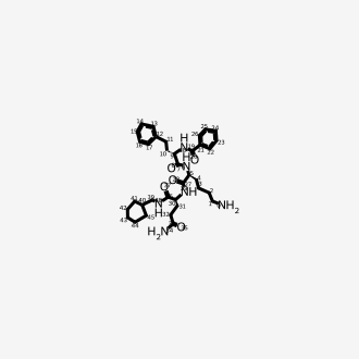 NCCCC[C@H](NC(=O)[C@H](CCc1ccccc1)NC(=O)c1ccccc1)C(=O)N[C@@H](CCC(N)=O)C(=O)NCC1CCCCC1